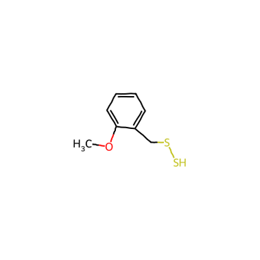 COc1ccccc1CSS